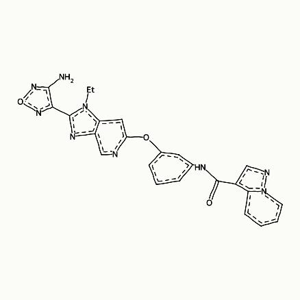 CCn1c(-c2nonc2N)nc2cnc(Oc3cccc(NC(=O)c4cnn5ccccc45)c3)cc21